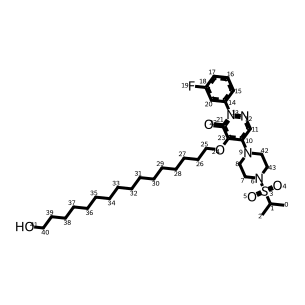 CC(C)S(=O)(=O)N1CCN(c2cnn(-c3cccc(F)c3)c(=O)c2OCCCCCCCCCCCCCCCCO)CC1